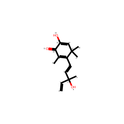 C=CC(C)(O)C=CC1=C(C)C(=O)C(O)=CC1(C)C